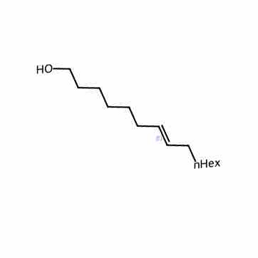 CCCCCCC/C=C/CCCCCCO